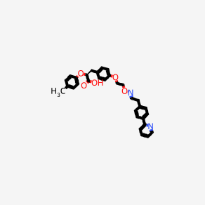 Cc1ccc(O[C@@H](Cc2ccc(OCCON=CCc3ccc(-c4ccccn4)cc3)cc2)C(=O)O)cc1